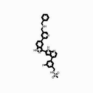 CS(=O)(=O)NCc1cc(F)cc(-c2ccnc3[nH]c(-c4n[nH]c5ccc(-c6cncc(CNCc7ccccc7)c6)cc45)cc23)c1